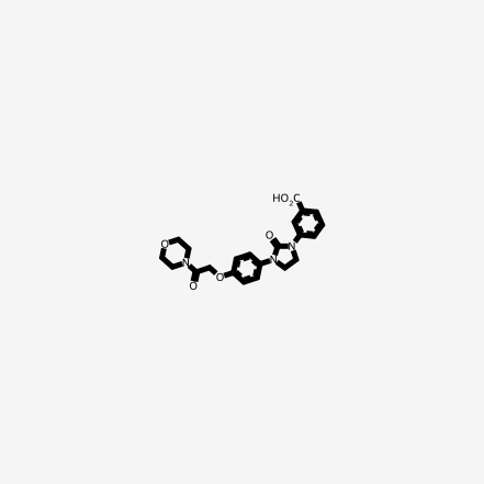 O=C(O)c1cccc(N2CCN(c3ccc(OCC(=O)N4CCOCC4)cc3)C2=O)c1